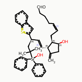 C=C1C[C@H](O)[C@H](C/C=C\CCCC=O)[C@H]1/C=C/[C@@H](CC(C)(C)[Si](O)(c1ccccc1)c1ccccc1)c1cc2ccccc2s1